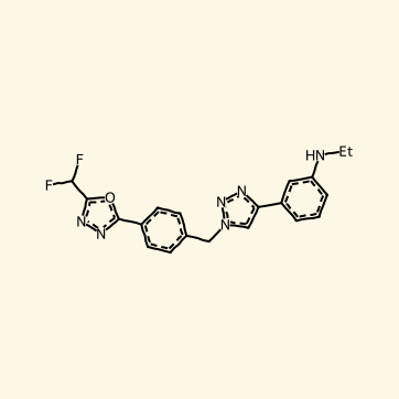 CCNc1cccc(-c2cn(Cc3ccc(-c4nnc(C(F)F)o4)cc3)nn2)c1